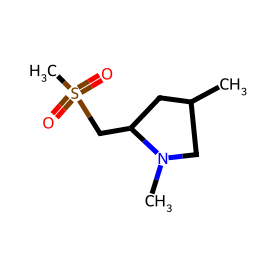 CC1CC(CS(C)(=O)=O)N(C)C1